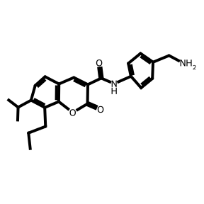 CCCc1c(C(C)C)ccc2cc(C(=O)Nc3ccc(CN)cc3)c(=O)oc12